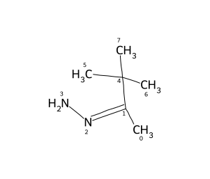 CC(=NN)C(C)(C)C